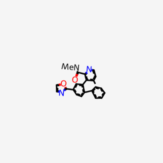 CNC(=O)c1nccc(C)c1-c1cc(-c2ncco2)ccc1-c1ccccc1